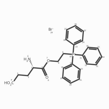 N[C@@H](CCC(=O)O)C(=O)OCC[P+](c1ccccc1)(c1ccccc1)c1ccccc1.[Br-]